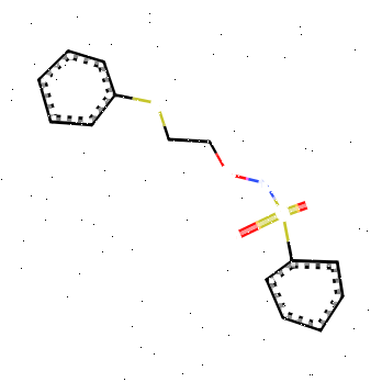 O=S(=O)(NOCCSc1ccccc1)c1ccccc1